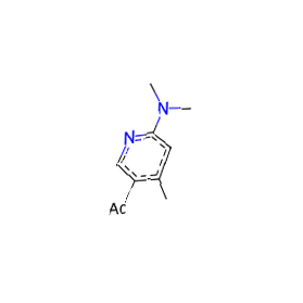 CC(=O)c1cnc(N(C)C)cc1C